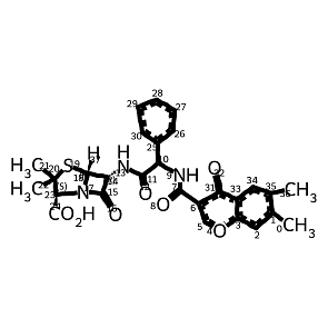 Cc1cc2occ(C(=O)NC(C(=O)N[C@@H]3C(=O)N4[C@@H]3SC(C)(C)[C@@H]4C(=O)O)c3ccccc3)c(=O)c2cc1C